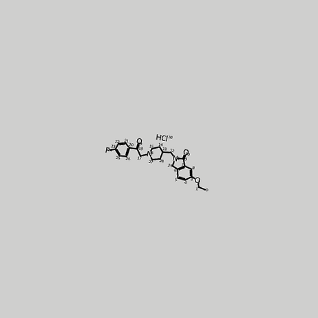 CCOc1ccc2c(c1)C(=O)N(CC1CCN(CC(=O)c3ccc(F)cc3)CC1)C2.Cl